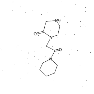 O=C(CN1CCNCC1=O)N1CCCCC1